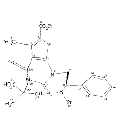 CCOC(=O)C1=C(C)c2c(n(C[C@H](OC(C)C)c3ccccc3)c(=O)n(C(C)(C)C(=O)O)c2=O)C1